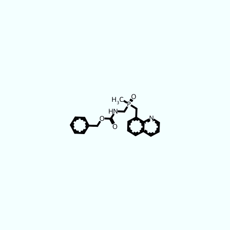 CP(=O)(CNC(=O)OCc1ccccc1)Cc1cccc2cccnc12